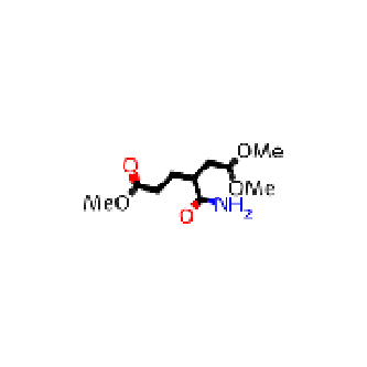 COC(=O)CCC(CC(OC)OC)C(N)=O